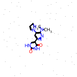 CN(C)c1nnc(-c2c[nH]c(=O)[nH]c2=O)cc1-n1cccn1